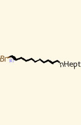 CCCCCCCCCCCCCCCC/C=C/Br